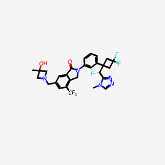 Cn1cnnc1[C@H](F)C1(c2cccc(N3Cc4c(cc(CN5CC(C)(O)C5)cc4C(F)(F)F)C3=O)c2)CC(F)(F)C1